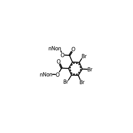 CCCCCCCCCOC(=O)c1c(Br)c(Br)c(Br)c(Br)c1C(=O)OCCCCCCCCC